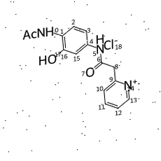 CC(=O)Nc1ccc(NC(=O)CC2=CC=CC=[N+]2)cc1O.[Cl-]